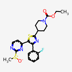 CCOC(=O)N1CCC(c2nc(-c3ccccc3F)c(-c3ccnc([S+](C)[O-])n3)s2)CC1